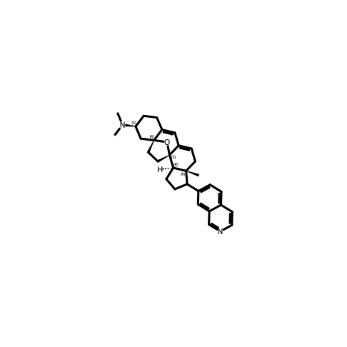 CN(C)[C@H]1CCC2=CC3=CC[C@]4(C)C(c5ccc6ccncc6c5)CC[C@H]4[C@@]34CC[C@]2(C1)O4